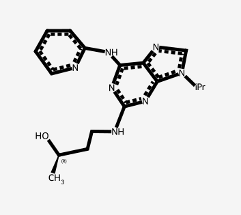 CC(C)n1cnc2c(Nc3ccccn3)nc(NCC[C@@H](C)O)nc21